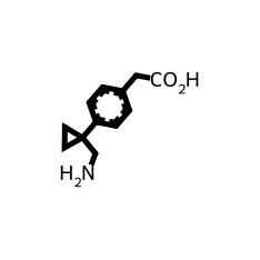 NCC1(c2ccc(CC(=O)O)cc2)CC1